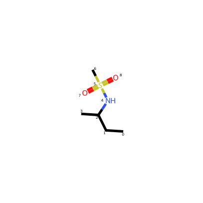 CCC(C)NS(C)(=O)=O